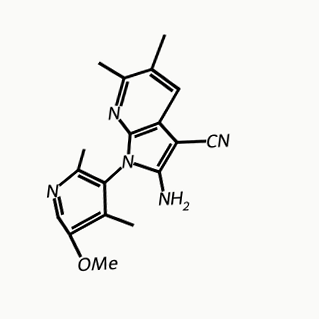 COc1cnc(C)c(-n2c(N)c(C#N)c3cc(C)c(C)nc32)c1C